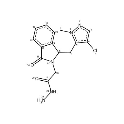 Cn1ncc(Cl)c1CC1c2ccccc2C(=O)N1CC(=O)NN